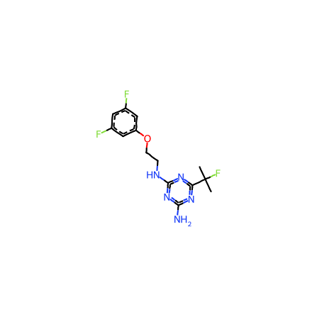 CC(C)(F)c1nc(N)nc(NCCOc2cc(F)cc(F)c2)n1